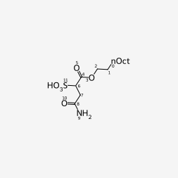 CCCCCCCCCCOC(=O)C(CC(N)=O)S(=O)(=O)O